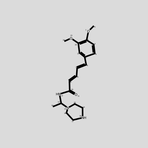 COc1ccc(C=CC=CC(=O)NC(C)N2CCNCC2)cc1OC